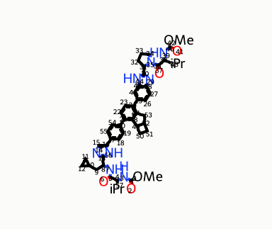 COC(=O)NC(C(=O)NC(CC1CC1)c1ncc(-c2ccc(-c3ccc(-c4ccc5nc(C6CCCN6C(=O)C(NC(=O)OC)C(C)C)[nH]c5c4)c4c3C3CCC3C4)cc2)[nH]1)C(C)C